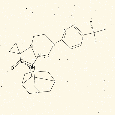 NC(=O)C12CC3CC(C1)C(NC(=O)C1(N4CCN(c5ccc(C(F)(F)F)cn5)CC4)CC1)C(C3)C2